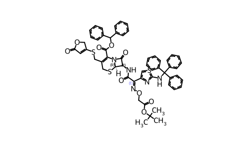 CC(C)(C)OC(=O)CO/N=C(/C(=O)N[C@@H]1C(=O)N2C(C(=O)OC(c3ccccc3)c3ccccc3)=C(CSC3=CC(=O)OC3)CS[C@H]12)c1csc(NC(c2ccccc2)(c2ccccc2)c2ccccc2)n1